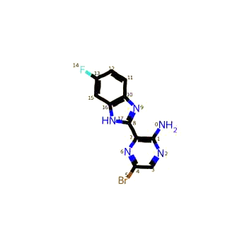 Nc1ncc(Br)nc1-c1nc2ccc(F)cc2[nH]1